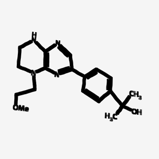 COCCN1CCNc2ncc(-c3ccc(C(C)(C)O)cc3)nc21